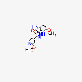 COc1ccc2c(c1)C1(NN=C(c3ccnc(OC)c3)S1)C(=O)N2